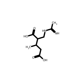 CC(=N)NCC(C(=O)O)C(C)CC(=O)O